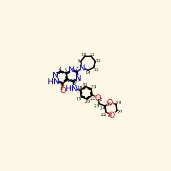 O=c1[nH]ncc2nc(N3CCCCCC3)nc(Nc3ccc(OCC4COCCO4)cc3)c12